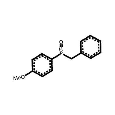 COc1ccc([PH](=O)Cc2cc[c]cc2)cc1